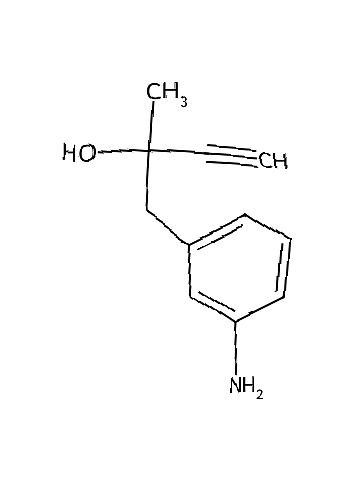 C#CC(C)(O)Cc1cccc(N)c1